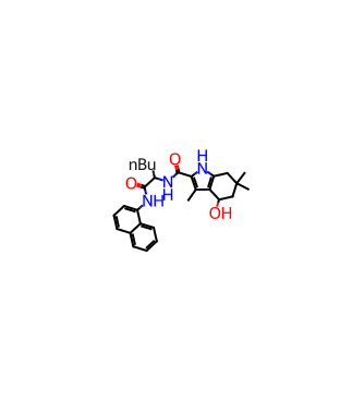 CCCCC(NC(=O)c1[nH]c2c(c1C)C(O)CC(C)(C)C2)C(=O)Nc1cccc2ccccc12